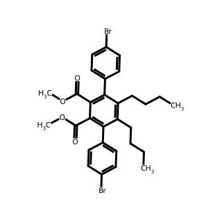 CCCCc1c(CCCC)c(-c2ccc(Br)cc2)c(C(=O)OC)c(C(=O)OC)c1-c1ccc(Br)cc1